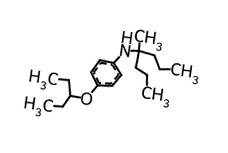 CCCC(C)(CCC)Nc1ccc(OC(CC)CC)cc1